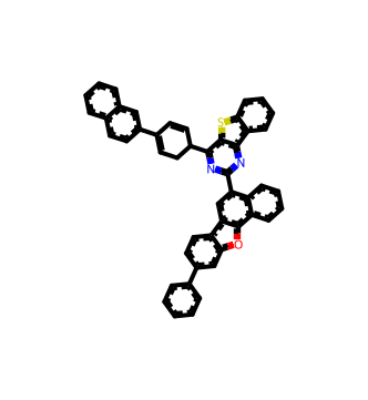 C1=CC(c2nc(-c3cc4c5ccc(-c6ccccc6)cc5oc4c4ccccc34)nc3c2sc2ccccc23)CC=C1c1ccc2ccccc2c1